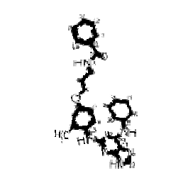 Cc1cc(OCCCNC(=O)c2ccccc2)ccc1Nc1nc(NC2CCCCC2)c2nc[nH]c2n1